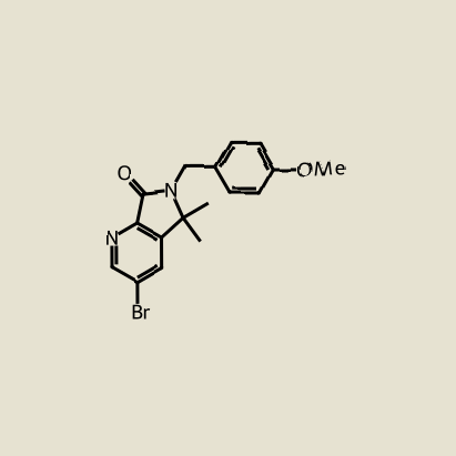 COc1ccc(CN2C(=O)c3ncc(Br)cc3C2(C)C)cc1